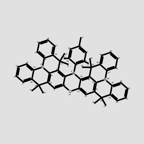 Cc1cc(C)c(N2c3c(cc4c5c3C(C)(C)c3ccccc3N5c3ccccc3C4(C)C)Oc3cc4c5c(c32)C(C)(C)c2ccccc2N5c2ccccc2C4(C)C)c(C)c1